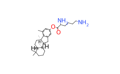 Cc1cc(OC(=O)C(N)CCCCN)cc2c1[C@]1(C)CC[C@H]3C(C)(C)CCC[C@]3(C)[C@@H]1C2